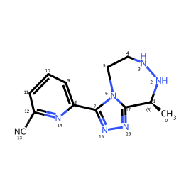 C[C@@H]1NNCCn2c(-c3cccc(C#N)n3)nnc21